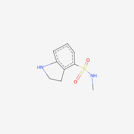 CNS(=O)(=O)c1cccc2c1CCN2